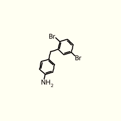 Nc1ccc(Cc2cc(Br)ccc2Br)cc1